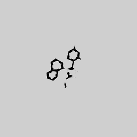 O=C(O)CSc1nnc(-c2ccc(O)cc2O)n1-c1cccc2ccccc12